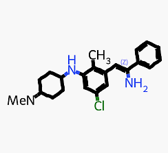 CNC1CCC(Nc2cc(Cl)cc(/C=C(\N)c3ccccc3)c2C)CC1